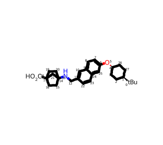 CC(C)(C)[C@H]1CC[C@H](Oc2ccc3cc(CNC45CCC(C(=O)O)(CC4)C5)ccc3c2)CC1